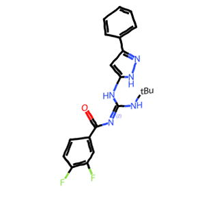 CC(C)(C)N/C(=N/C(=O)c1ccc(F)c(F)c1)Nc1cc(-c2ccccc2)n[nH]1